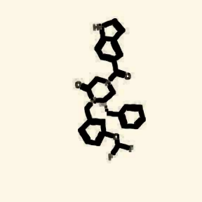 O=C(c1ccc2[nH]ccc2c1)N1CC(=O)N(Cc2cccc(OC(F)F)c2)[C@@H](Cc2ccccc2)C1